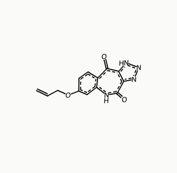 C=CCOc1ccc2c(=O)c3[nH]nnc3c(=O)[nH]c2c1